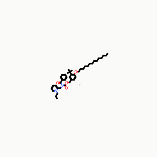 CCCCCCCCCCCCCCOc1ccc(COC(=O)N(Cc2cccc[n+]2CCC)C(=O)c2ccccc2)cc1C(C)(C)C.[I-]